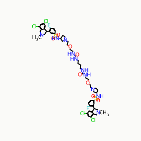 CN1Cc2c(Cl)cc(Cl)cc2C(c2cc(S(=O)(=O)N[C@@H]3CCN(CCOCCNC(=O)NCCCCNC(=O)NCCOCCN4CC[C@@H](NS(=O)(=O)c5ccc(F)c(C6CN(C)Cc7c(Cl)cc(Cl)cc76)c5)C4)C3)ccc2F)C1